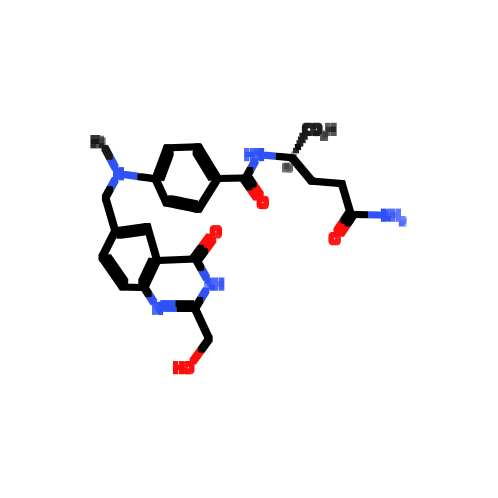 CCN(Cc1ccc2nc(CO)[nH]c(=O)c2c1)c1ccc(C(=O)N[C@@H](CCC(N)=O)C(=O)O)cc1